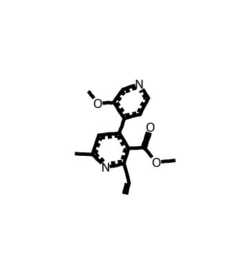 C=Cc1nc(C)cc(-c2ccncc2OC)c1C(=O)OC